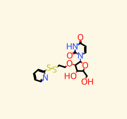 O=c1ccn([C@H]2OC(CO)[C@@H](O)[C@H]2OCCSSc2ccccn2)c(=O)[nH]1